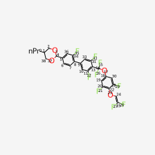 CCCC1COC(c2ccc(-c3cc(F)c(C(F)(F)Oc4cc(F)c(OC=C(F)F)c(F)c4)c(F)c3)c(F)c2)OC1